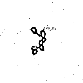 CCOC(=O)C1Cc2ccc3c(ccc4c(-c5nccc6ccccc56)cccc43)c2C(Cc2ccccc2)C1